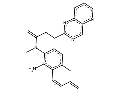 C=C/C=C\c1c(C)ccc(N(C)C(=C)CCc2ncc3ncccc3n2)c1N